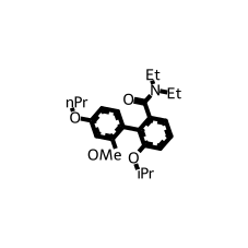 CCCOc1ccc(-c2c(OC(C)C)cccc2C(=O)N(CC)CC)c(OC)c1